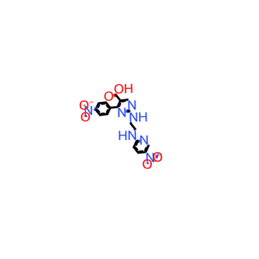 O=C(O)c1cnc(NCCNc2ccc([N+](=O)[O-])cn2)nc1-c1ccc([N+](=O)[O-])cc1